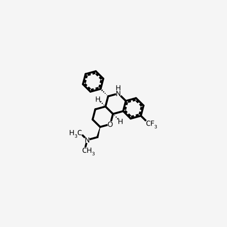 CN(C)C[C@H]1CC[C@@H]2[C@H](O1)c1cc(C(F)(F)F)ccc1N[C@H]2c1ccccc1